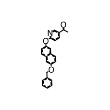 CC(=O)c1ccc(Oc2ccc3cc(OCc4ccccc4)ccc3c2)nc1